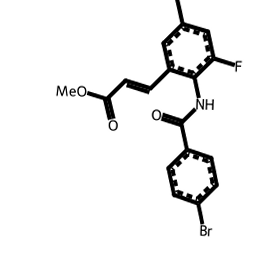 COC(=O)C=Cc1cc(C)cc(F)c1NC(=O)c1ccc(Br)cc1